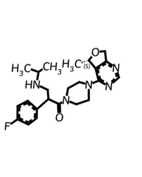 CC(C)NCC(C(=O)N1CCN(c2ncnc3c2[C@H](C)OC3)CC1)c1ccc(F)cc1